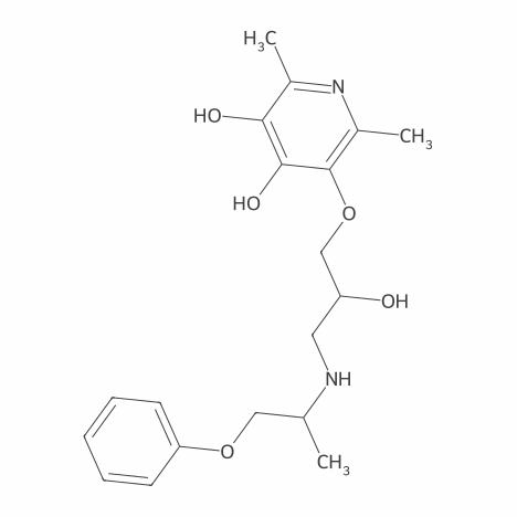 Cc1nc(C)c(OCC(O)CNC(C)COc2ccccc2)c(O)c1O